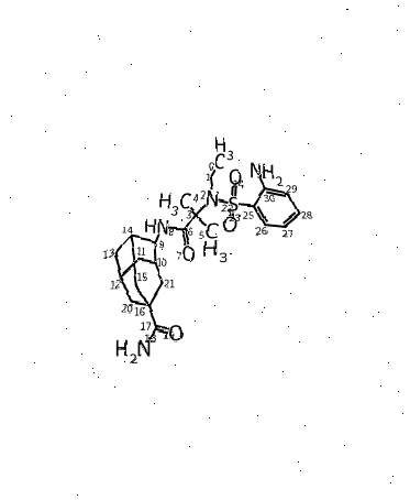 CCN(C(C)(C)C(=O)NC1C2CC3CC1CC(C(N)=O)(C3)C2)S(=O)(=O)c1ccccc1N